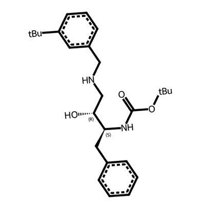 CC(C)(C)OC(=O)N[C@@H](Cc1ccccc1)[C@H](O)CNCc1cccc(C(C)(C)C)c1